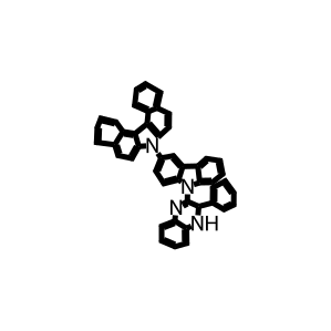 c1ccc(C2Nc3ccccc3N=C2n2c3ccccc3c3cc(-n4c5ccc6ccccc6c5c5c6ccccc6ccc54)ccc32)cc1